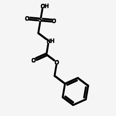 O=C(NCS(=O)(=O)O)OCc1ccccc1